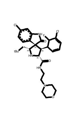 CC(C)(C)C[C@H]1N[C@@H](C(=O)NCCN2CCOCC2)[C@H](C2C=CC=C(Cl)C2F)[C@@]12C(=O)Nc1cc(Cl)ccc12